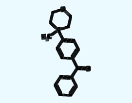 C[N+]1(c2ccc(C(=O)c3ccccc3)cc2)CCOCC1